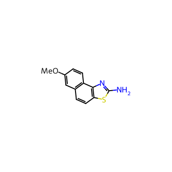 COc1ccc2c(ccc3sc(N)nc32)c1